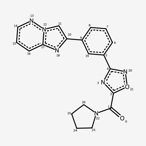 O=C(c1nc(-c2cccc(-c3cn4ncccc4n3)c2)no1)N1CCCC1